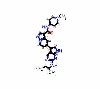 CC[C@H](C)Nc1ncc2c(-c3ccn4ncc(C(=O)NC5CCN(C)CC5)c4c3)c[nH]c2n1